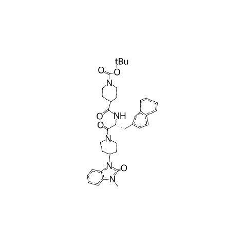 Cn1c(=O)n(C2CCN(C(=O)[C@@H](Cc3ccc4ccccc4c3)NC(=O)C3CCN(C(=O)OC(C)(C)C)CC3)CC2)c2ccccc21